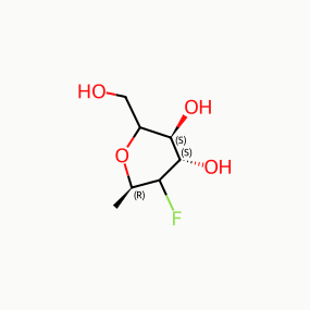 C[C@H]1OC(CO)[C@@H](O)[C@H](O)C1F